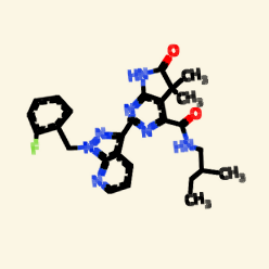 CCC(C)CNC(=O)c1nc(-c2nn(Cc3ccccc3F)c3ncccc23)nc2c1C(C)(C)C(=O)N2